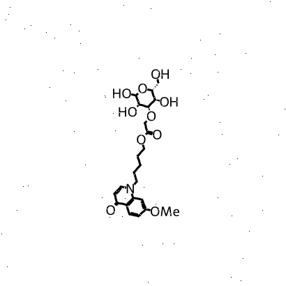 COc1ccc2c(=O)ccn(CCCCCOC(=O)CO[C@H]3[C@H](O)[C@@H](CO)OC(O)[C@@H]3O)c2c1